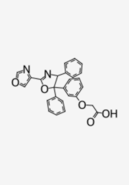 O=C(O)COc1cccc(C2(c3ccccc3)OC(c3cocn3)=NC2c2ccccc2)c1